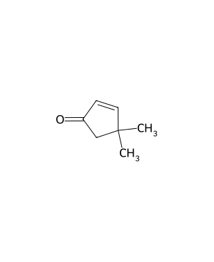 CC1(C)C=CC(=O)C1